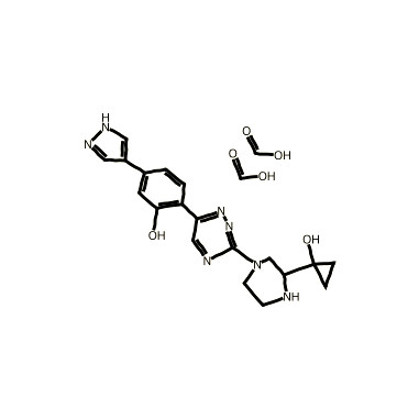 O=CO.O=CO.Oc1cc(-c2cn[nH]c2)ccc1-c1cnc(N2CCNC(C3(O)CC3)C2)nn1